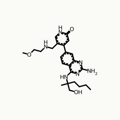 CCCCC(C)(CO)Nc1nc(N)nc2cc(-c3cc(=O)[nH]cc3CNCCOC)ccc12